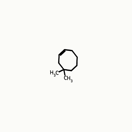 CC1(C)CC=CCCCC1